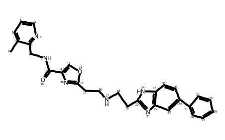 Cc1cccnc1CNC(=O)c1coc(CCNCCc2nc3cc(-c4ccccc4)ccc3[nH]2)n1